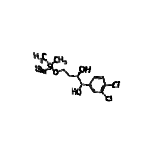 CC(C)(C)[Si](C)(C)OCC[C@@H](O)C(O)c1ccc(Cl)c(Cl)c1